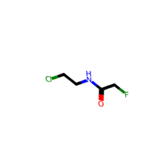 O=C(CF)NCCCl